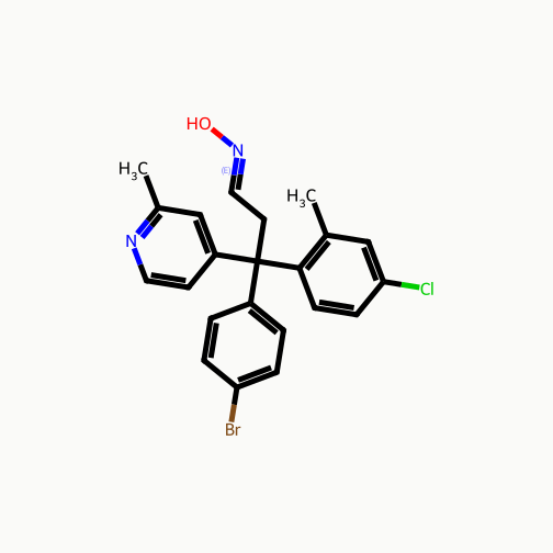 Cc1cc(C(C/C=N/O)(c2ccc(Br)cc2)c2ccc(Cl)cc2C)ccn1